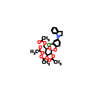 CC(=O)OC[C@H]1O[C@H](Oc2ccc(N3CCc4ccccc43)cc2Cl)[C@@H](OC(C)=O)[C@@H](OC(C)=O)[C@@H]1OC(C)=O